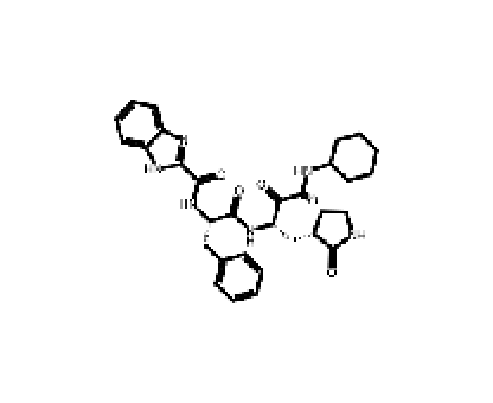 O=C(NC1CCCCC1)C(=O)[C@H](C[C@@H]1CCNC1=O)NC(=O)[C@H](Cc1ccccc1)NC(=O)c1nc2ccccc2[nH]1